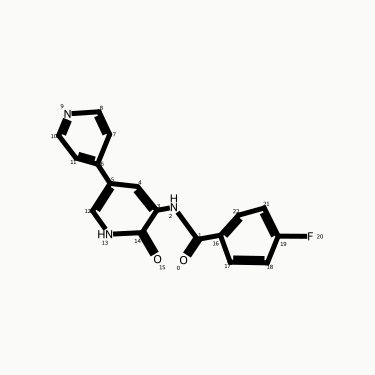 O=C(Nc1cc(-c2ccncc2)c[nH]c1=O)c1ccc(F)cc1